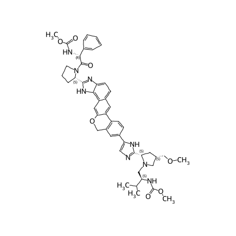 COC[C@H]1C[C@@H](c2ncc(-c3ccc4c(c3)COc3cc5c(ccc6nc([C@@H]7CCCN7C(=O)[C@H](NC(=O)OC)c7ccccc7)[nH]c65)cc3-4)[nH]2)N(C[C@@H](NC(=O)OC)C(C)C)C1